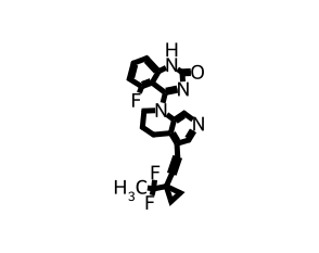 CC(F)(F)C1(C#Cc2cncc3c2CCCN3c2nc(=O)[nH]c3cccc(F)c23)CC1